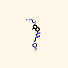 CCN1CCN(CCCNC(=S)Nc2ccc3cc(N(C)CCN)cc(C)c3c2)CC1